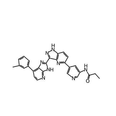 CCC(=O)Nc1cncc(-c2ccc3[nH]nc(-c4nc5c(-c6cccc(C)c6)ccnc5[nH]4)c3n2)c1